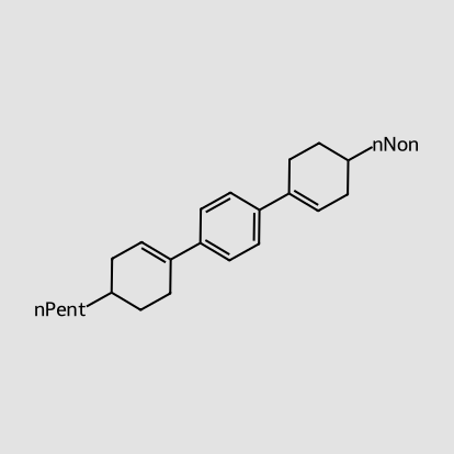 CCCCCCCCCC1CC=C(c2ccc(C3=CCC(CCCCC)CC3)cc2)CC1